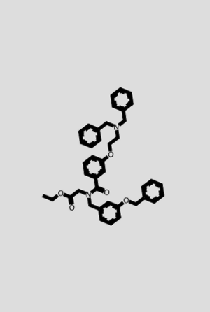 CCOC(=O)CN(Cc1cccc(OCc2ccccc2)c1)C(=O)c1cccc(OCCN(Cc2ccccc2)Cc2ccccc2)c1